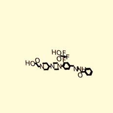 O=C(O)C(F)(F)F.O=C(O)CN1CCC(N2CCN(c3ccc(C=NNC(=O)c4ccccc4)cc3)CC2)CC1